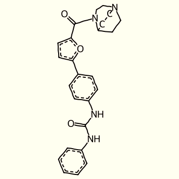 O=C(Nc1ccccc1)Nc1ccc(-c2ccc(C(=O)N3CCN4CCC3CC4)o2)cc1